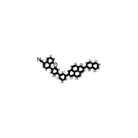 N#Cc1ccc2c3c(cccc13)Oc1cc(-c3cccc(-c4cc5ccc6cc(-c7ccc8ccccc8c7)cc7ccc(c4)c5c67)c3)ccc1-2